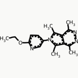 CCOc1ccc(-n2c(C)c3c(C)nnc(C)c3c2C)cn1